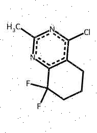 Cc1nc(Cl)c2c(n1)C(F)(F)CCC2